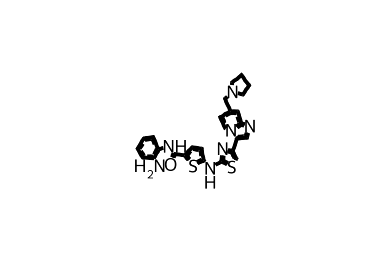 Nc1ccccc1NC(=O)c1ccc(Nc2nc(-c3cnc4cc(CN5CCCC5)ccn34)cs2)s1